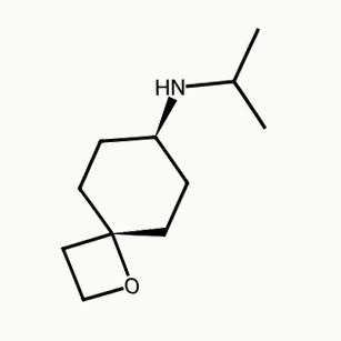 CC(C)N[C@H]1CC[C@@]2(CCO2)CC1